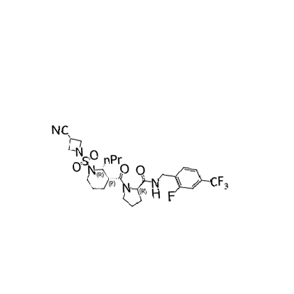 CCC[C@@H]1[C@H](C(=O)N2CCC[C@@H]2C(=O)NCc2ccc(C(F)(F)F)cc2F)CCCN1S(=O)(=O)N1CC(C#N)C1